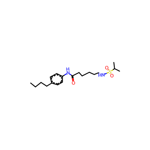 CCCCc1ccc(NC(=O)CCCCCNS(=O)(=O)C(C)C)cc1